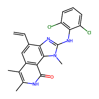 C=Cc1cc2c(C)c(C)[nH]c(=O)c2c2c1nc(Nc1c(Cl)cccc1Cl)n2C